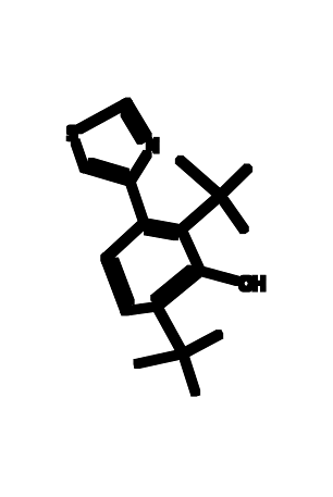 CC(C)(C)c1ccc(-c2cscn2)c(C(C)(C)C)c1O